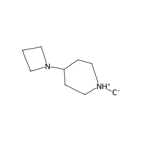 [CH2-][NH+]1CCC(N2CCC2)CC1